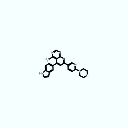 Nc1ncnc2nc(-c3ccc(N4CCOCC4)nc3)cc(-c3ccc4[nH]ccc4c3)c12